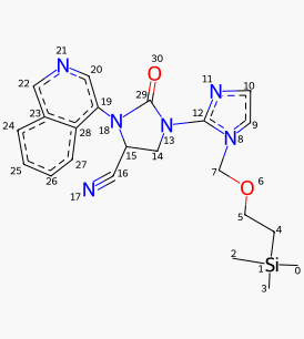 C[Si](C)(C)CCOCn1ccnc1N1CC(C#N)N(c2cncc3ccccc23)C1=O